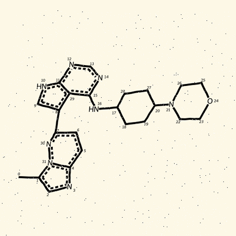 Cc1cnc2ccc(-c3c[nH]c4ncnc(NC5CCC(N6CCOCC6)CC5)c34)nn12